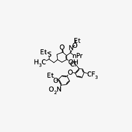 CCCC(=NOCC)C1=C(O)CC(CC(C)SCC)CC1=O.CCOc1cc(Oc2ccc(C(F)(F)F)cc2Cl)ccc1[N+](=O)[O-]